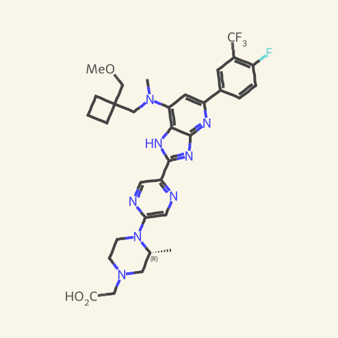 COCC1(CN(C)c2cc(-c3ccc(F)c(C(F)(F)F)c3)nc3nc(-c4cnc(N5CCN(CC(=O)O)C[C@H]5C)cn4)[nH]c23)CCC1